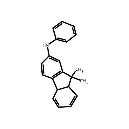 CC1(C)c2cc(Nc3ccccc3)ccc2C2C=CC=CC21